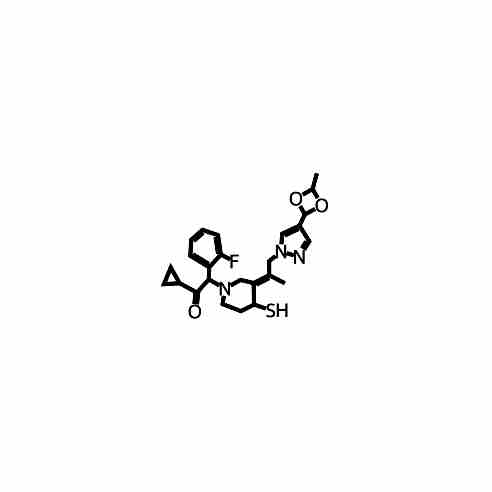 C/C(Cn1cc(C2OC(C)O2)cn1)=C1/CN(C(C(=O)C2CC2)c2ccccc2F)CCC1S